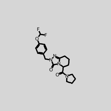 O=C(C1CCCc2nn(Cc3ccc(OC(F)F)cc3)c(=O)n21)N1CCCC1